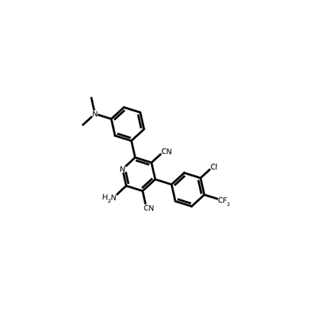 CN(C)c1cccc(-c2nc(N)c(C#N)c(-c3ccc(C(F)(F)F)c(Cl)c3)c2C#N)c1